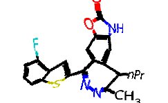 CCCC1C(C)=NN=C(c2cc3c(F)cccc3s2)c2cc3oc(=O)[nH]c3cc21